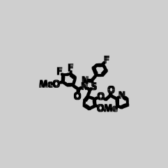 COc1cc(C(=O)N2N=C(c3ccc(F)cc3)SC2c2cccc(OC)c2OCC(=O)c2ccccn2)cc(F)c1F